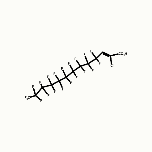 O=C(O)C(Cl)=CC(F)(F)C(F)(F)C(F)(F)C(F)(F)C(F)(F)C(F)(F)C(F)(F)C(F)(F)C(F)(F)C(F)(F)F